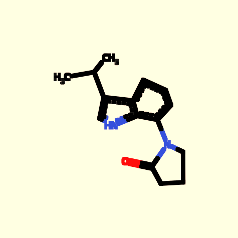 CC(C)c1c[nH]c2c(N3CCCC3=O)cccc12